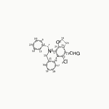 O=Cc1c(Cl)cc(N(Cc2ccccc2)Cc2ccccc2)c2c1CCO2